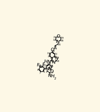 NC(=O)C[N+]1(c2cccc(F)c2F)C=C(Nc2ncnc3cc(OCCCN4CCOCC4)ccc23)N=N1